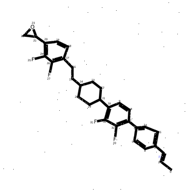 C/C=C/c1ccc(-c2ccc(C3CCC(CCc4ccc(C5CO5)c(F)c4F)CC3)c(F)c2F)cc1